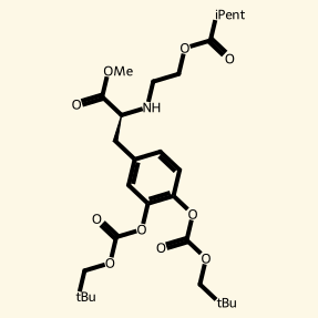 CCCC(C)C(=O)OCCN[C@@H](Cc1ccc(OC(=O)OCC(C)(C)C)c(OC(=O)OCC(C)(C)C)c1)C(=O)OC